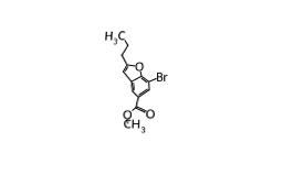 CCCc1cc2cc(C(=O)OC)cc(Br)c2o1